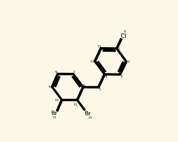 Clc1ccc(CC2=CC=CC(Br)C2Br)cc1